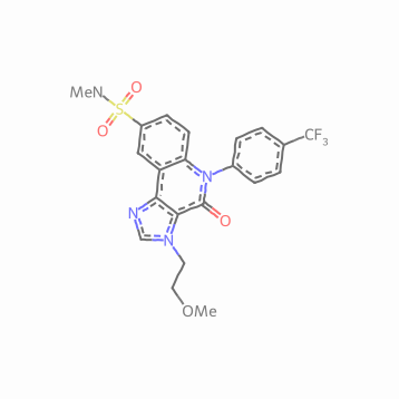 CNS(=O)(=O)c1ccc2c(c1)c1ncn(CCOC)c1c(=O)n2-c1ccc(C(F)(F)F)cc1